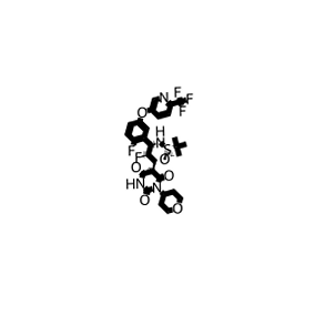 CC(C)(C)[S@@+]([O-])N[C@@H](c1cc(Oc2ccc(C(F)(F)F)nc2)ccc1F)[C@@H](F)C[C@@H]1C(=O)NC(=O)N(C2CCOCC2)C1=O